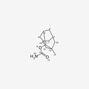 CC12CC3CC(C1)C(OC(N)=O)C(C)(C3)C2